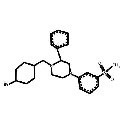 CC(C)C1CCC(CN2CCN(c3cccc(S(C)(=O)=O)c3)CC2c2ccccc2)CC1